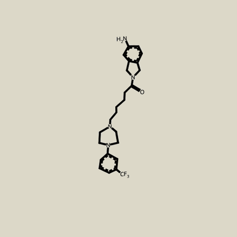 Nc1ccc2c(c1)CN(C(=O)CCCCCN1CCN(c3cccc(C(F)(F)F)c3)CC1)C2